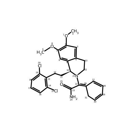 COc1cc2c(cc1OC)[C@H](CCc1c(Cl)cccc1Cl)N(/C(C(N)=O)=C1\C=CC=CC1)CC2